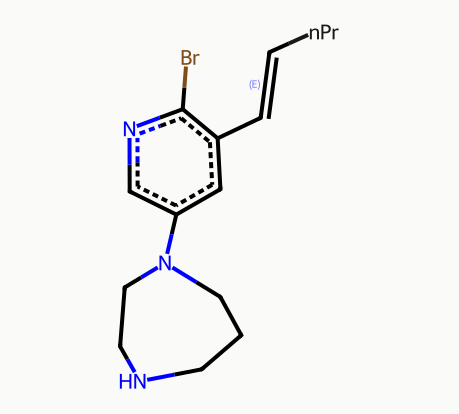 CCC/C=C/c1cc(N2CCCNCC2)cnc1Br